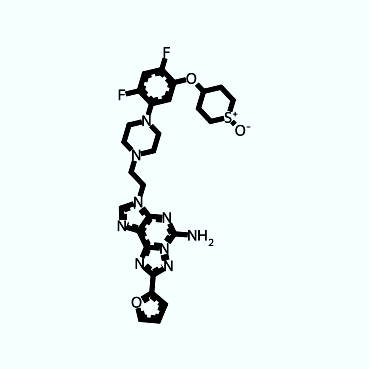 Nc1nc2c(ncn2CCN2CCN(c3cc(OC4CC[S+]([O-])CC4)c(F)cc3F)CC2)c2nc(-c3ccco3)nn12